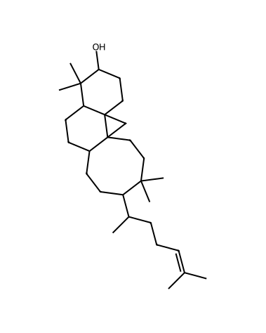 CC(C)=CCCC(C)C1CCC2CCC3C(C)(C)C(O)CCC34CC24CCC1(C)C